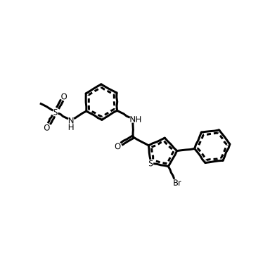 CS(=O)(=O)Nc1cccc(NC(=O)c2cc(-c3ccccc3)c(Br)s2)c1